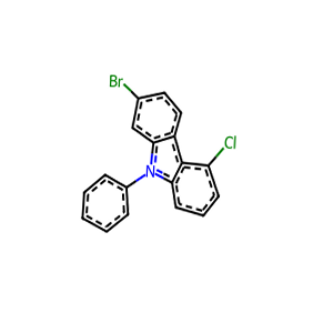 Clc1cccc2c1c1ccc(Br)cc1n2-c1ccccc1